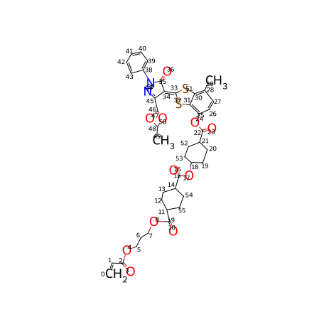 C=CC(=O)OCCCOC(=O)C1CCC(C(=O)OC2CCC(C(=O)Oc3ccc(C)c4c3S/C(=C3/C(=O)N(c5ccccc5)N=C3C3OC(C)O3)S4)CC2)CC1